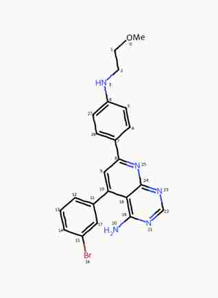 COCCNc1ccc(-c2cc(-c3cccc(Br)c3)c3c(N)ncnc3n2)cc1